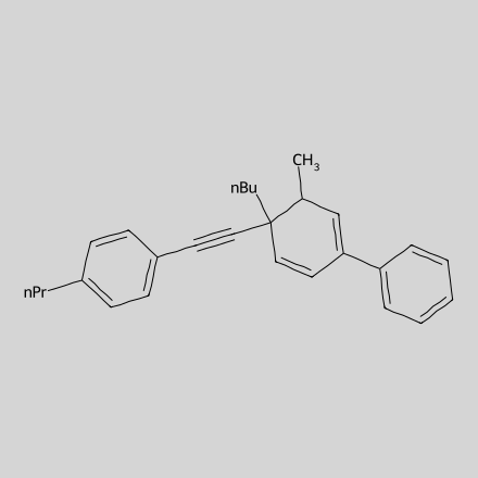 CCCCC1(C#Cc2ccc(CCC)cc2)C=CC(c2ccccc2)=CC1C